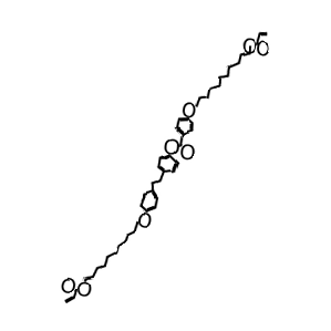 C=CC(=O)OCCCCCCCCCCCOc1ccc(CCc2ccc(OC(=O)c3ccc(OCCCCCCCCCCCOC(=O)C=C)cc3)cc2)cc1